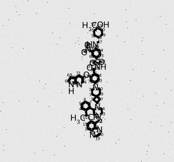 CC(C)c1ccccc1C1CN(Cc2cccc3nccnc23)CCN1C1CC2(CCN(c3ccc(C(=O)NS(=O)(=O)c4ccc(NC[C@H]5CC[C@](C)(O)CC5)c([N+](=O)[O-])c4)c(Oc4cnc5[nH]ccc5c4)c3)CC2)C1